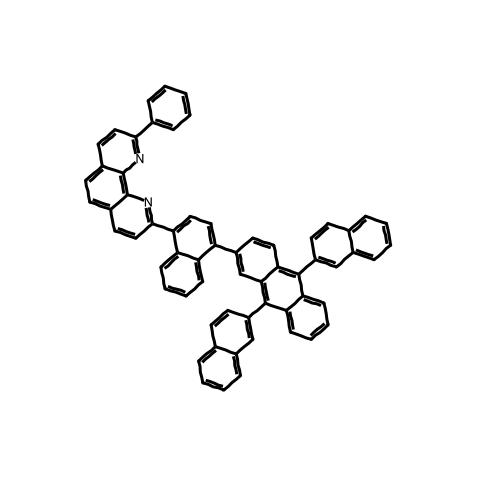 c1ccc(-c2ccc3ccc4ccc(-c5ccc(-c6ccc7c(-c8ccc9ccccc9c8)c8ccccc8c(-c8ccc9ccccc9c8)c7c6)c6ccccc56)nc4c3n2)cc1